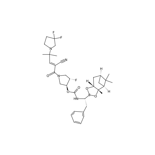 CC1(C)[C@@H]2C[C@H]3OB([C@H](Cc4ccccc4)NC(=O)O[C@H]4CN(C(=O)C(C#N)=CC(C)(C)N5CCC(F)(F)C5)C[C@@H]4F)O[C@@]3(C)[C@H]1C2